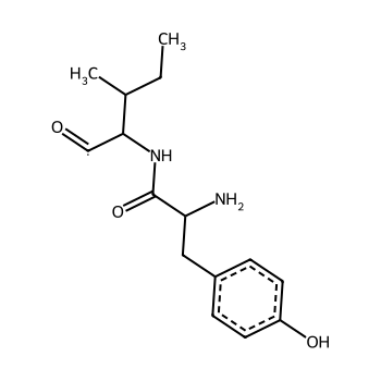 CCC(C)C([C]=O)NC(=O)C(N)Cc1ccc(O)cc1